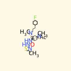 CC(=O)N(C)[C@H]1CC[C@@H](NC(=O)Nc2nc(C)cs2)[C@H](CN(C)CCCc2ccc(F)cc2)C1